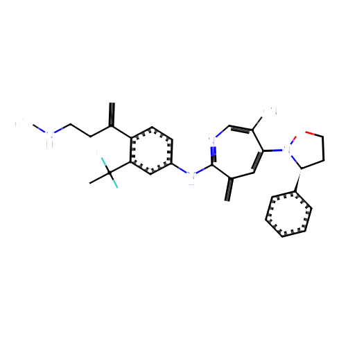 C=C1C=C(N2OCC[C@H]2c2ccccc2)C(C#N)=CN=C1Nc1ccc(C(=C)CCNCCC)c(C(C)(F)F)c1